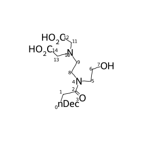 CCCCCCCCCCCC(=O)N(CCO)CCN(CC(=O)O)CC(=O)O